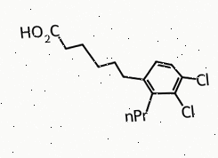 CCCc1c(CCCCCC(=O)O)ccc(Cl)c1Cl